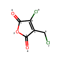 O=C1OC(=O)C(CCl)=C1Cl